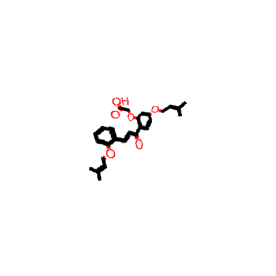 CC(C)=CCOc1ccc(C(=O)C=Cc2ccccc2OCC=C(C)C)c(OCC(=O)O)c1